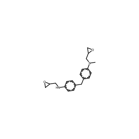 CN(CC1CO1)c1ccc(Cc2ccc(NCC3CO3)cc2)cc1